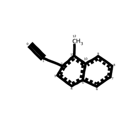 [C]#Cc1ccc2ccccc2c1C